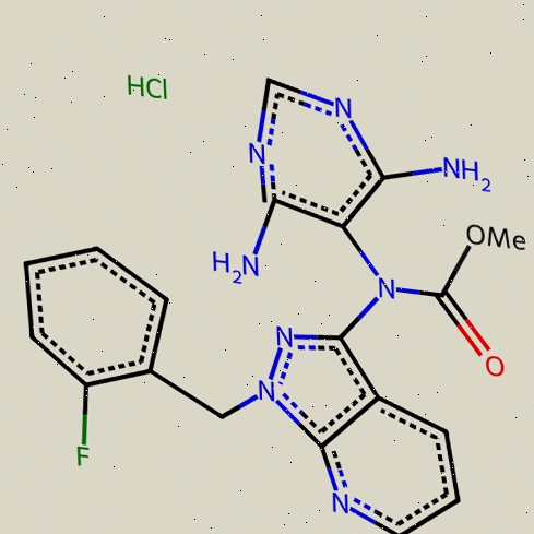 COC(=O)N(c1c(N)ncnc1N)c1nn(Cc2ccccc2F)c2ncccc12.Cl